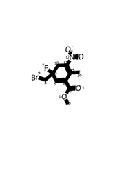 COC(=O)C1=CC(F)(CBr)CC([N+](=O)[O-])=C1C